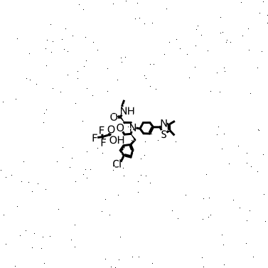 CCNC(=O)[C@H]1CN(C2CC=C(c3nc(C)c(C)s3)CC2)[C@@H](Cc2ccc(Cl)cc2)CO1.O=C(O)C(F)(F)F